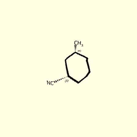 C[C@@H]1CCC[C@H](C#N)C1